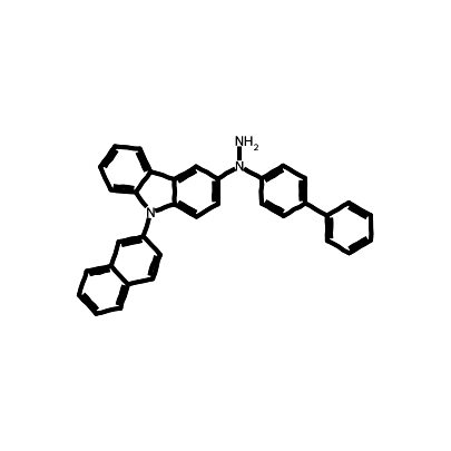 NN(c1ccc(-c2ccccc2)cc1)c1ccc2c(c1)c1ccccc1n2-c1ccc2ccccc2c1